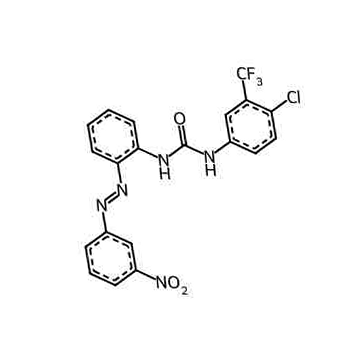 O=C(Nc1ccc(Cl)c(C(F)(F)F)c1)Nc1ccccc1/N=N/c1cccc([N+](=O)[O-])c1